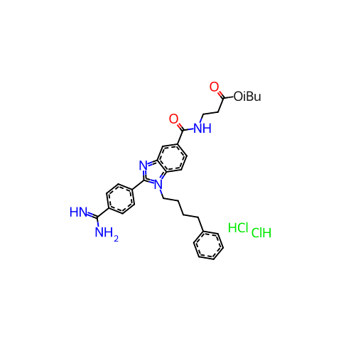 CC(C)COC(=O)CCNC(=O)c1ccc2c(c1)nc(-c1ccc(C(=N)N)cc1)n2CCCCc1ccccc1.Cl.Cl